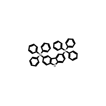 c1ccc([Si](c2ccccc2)(c2ccccc2)c2ccc3sc4ccc(S(c5ccccc5)(c5ccccc5)c5ccccc5)cc4c3c2)cc1